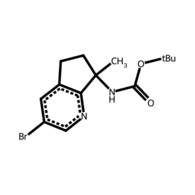 CC(C)(C)OC(=O)NC1(C)CCc2cc(Br)cnc21